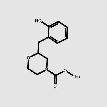 CC(C)(C)OC(=O)N1CCOC(Cc2ccccc2O)C1